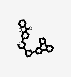 O=c1c2ccccc2oc2cc(-c3cccc(-c4cccc(-c5ccc6c7ccccc7c7ccccc7c6c5)c4)c3)ccc12